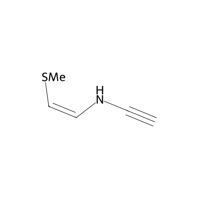 C#CN/C=C\SC